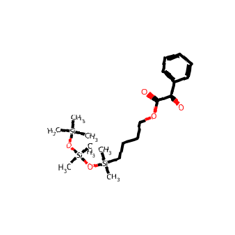 C[Si](C)(C)O[Si](C)(C)O[Si](C)(C)CCCCOC(=O)C(=O)c1ccccc1